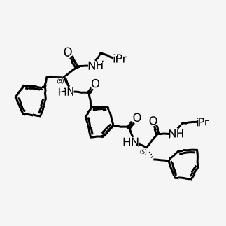 CC(C)CNC(=O)[C@H](Cc1ccccc1)NC(=O)c1cccc(C(=O)N[C@@H](Cc2ccccc2)C(=O)NCC(C)C)c1